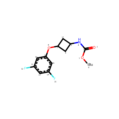 CC(C)(C)OC(=O)NC1CC(Oc2cc(F)cc(F)c2)C1